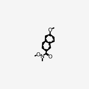 COc1ccc2cc(C(=O)N(C)OC)ccc2c1